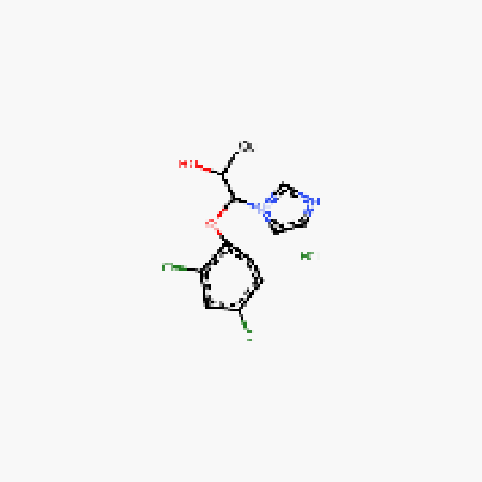 CC(C)(C)C(O)C(Oc1ccc(Cl)cc1Cl)n1ccnc1.Cl